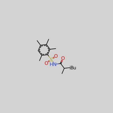 CCC(C)C(C)C(=O)NS(=O)(=O)c1c(C)cc(C)c(C)c1C